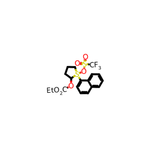 CCOC(=O)OC1CCCS1(OS(=O)(=O)C(F)(F)F)c1cccc2ccccc12